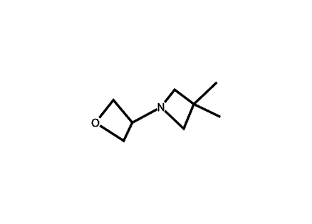 CC1(C)CN(C2COC2)C1